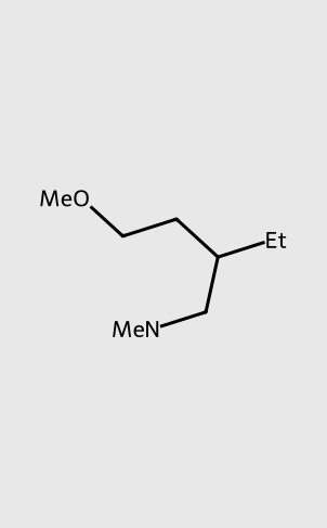 CCC(CCOC)CNC